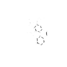 COc1cc(/C=C\c2c[c]c(C)cc2)cc(OC)c1OC